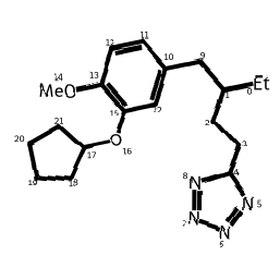 CCC(CCC1N=NN=N1)Cc1ccc(OC)c(OC2CCCC2)c1